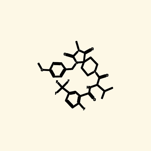 COc1ccc(CN2C(=O)N(C)C(=O)C23CCN(C(=O)C(NC(=O)c2cc(C(F)(F)F)ccc2F)C(C)C)CC3)cc1